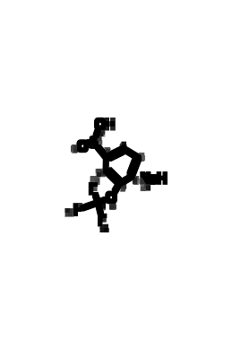 O=S(O)c1cccc(OC(F)(F)F)c1.[NaH]